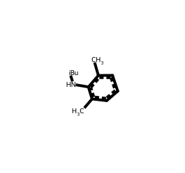 CCC(C)Nc1c(C)cccc1C